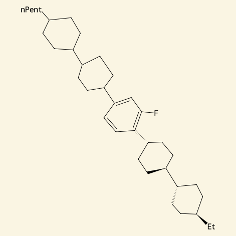 CCCCCC1CCC(C2CCC(c3ccc([C@H]4CC[C@H]([C@H]5CC[C@H](CC)CC5)CC4)c(F)c3)CC2)CC1